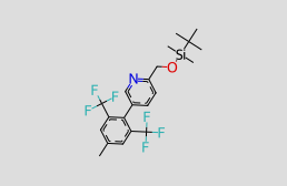 Cc1cc(C(F)(F)F)c(-c2ccc(CO[Si](C)(C)C(C)(C)C)nc2)c(C(F)(F)F)c1